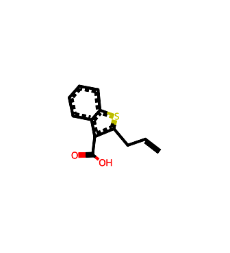 C=CCc1sc2ccccc2c1C(=O)O